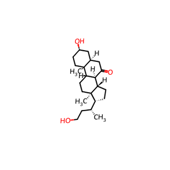 C[C@H](CCO)[C@H]1CC[C@H]2[C@@H]3C(=O)C[C@@H]4C[C@H](O)CC[C@]4(C)[C@H]3CC[C@]12C